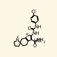 CN1CCCC12CCc1c(sc(NC(=O)Nc3ccc(Cl)cc3)c1C(N)=O)C2.Cl